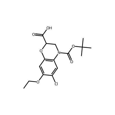 CCOc1cc2c(cc1Cl)N(C(=O)OC(C)(C)C)CC(C(=O)O)O2